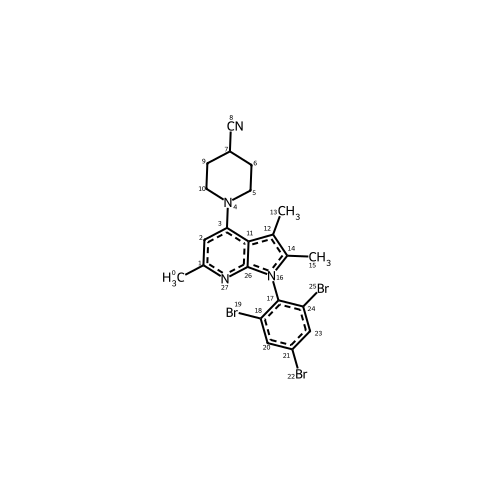 Cc1cc(N2CCC(C#N)CC2)c2c(C)c(C)n(-c3c(Br)cc(Br)cc3Br)c2n1